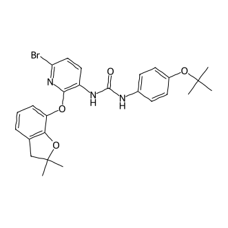 CC(C)(C)Oc1ccc(NC(=O)Nc2ccc(Br)nc2Oc2cccc3c2OC(C)(C)C3)cc1